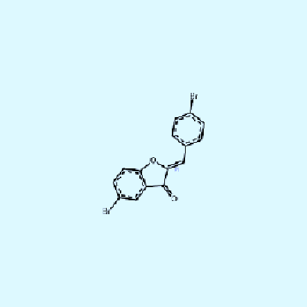 O=C1/C(=C/c2ccc(Br)cc2)Oc2ccc(Br)cc21